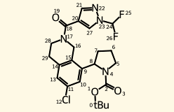 CC(C)(C)OC(=O)N1CCCC1c1cc(Cl)cc2c1CN(C(=O)c1cnn(C(F)F)c1)CC2